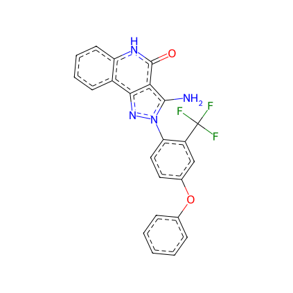 Nc1c2c(=O)[nH]c3ccccc3c2nn1-c1ccc(Oc2ccccc2)cc1C(F)(F)F